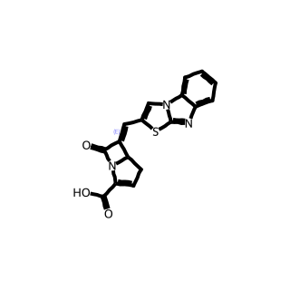 O=C(O)C1=CCC2/C(=C\c3cn4c(nc5ccccc54)s3)C(=O)N12